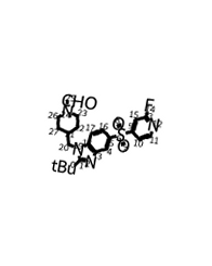 CC(C)(C)c1nc2cc(S(=O)(=O)c3ccnc(F)c3)ccc2n1CC1CCN(C=O)CC1